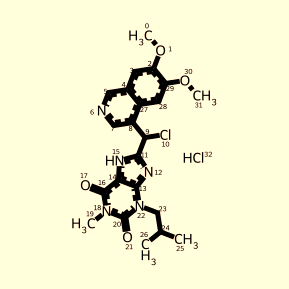 COc1cc2cncc(C(Cl)c3nc4c([nH]3)c(=O)n(C)c(=O)n4CC(C)C)c2cc1OC.Cl